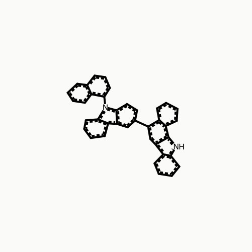 c1ccc2c(-n3c4ccccc4c4cc(-c5cc6c7ccccc7[nH]c6c6ccccc56)ccc43)cccc2c1